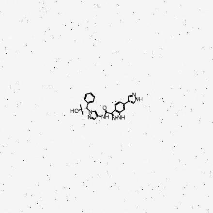 CC(C)(O)[C@H](c1ccccc1)n1cc(NC(=O)c2n[nH]c3cc(-c4cn[nH]c4)ccc23)cn1